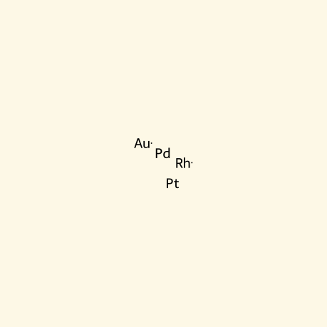 [Au].[Pd].[Pt].[Rh]